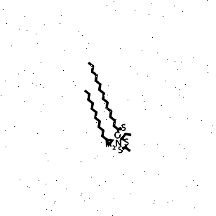 CCCCCCCCCCCC1CC1.CCCCCCCCCCCCCCCC(=S)OC(N)(CC)SC(C)=S